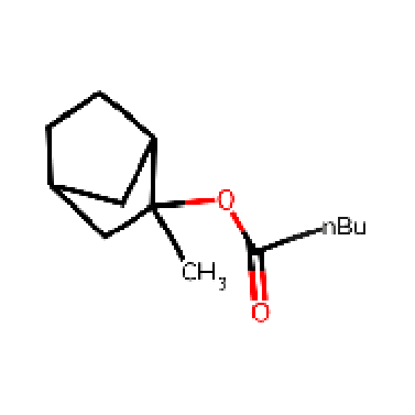 CCCCC(=O)OC1(C)CC2CCC1C2